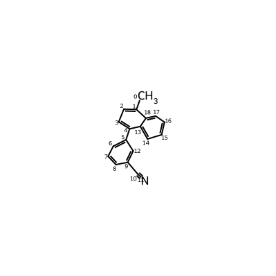 Cc1ccc(-c2cccc(C#N)c2)c2ccccc12